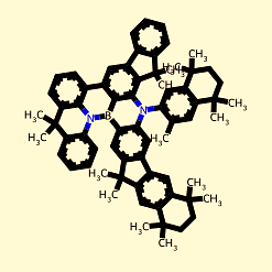 Cc1cc2c(cc1N1c3cc4c(cc3B3c5c(cc6c(c51)C(C)(C)c1ccccc1-6)-c1cccc5c1N3c1ccccc1C5(C)C)C(C)(C)c1cc3c(cc1-4)C(C)(C)CCC3(C)C)C(C)(C)CCC2(C)C